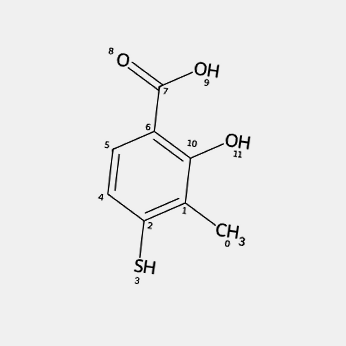 Cc1c(S)ccc(C(=O)O)c1O